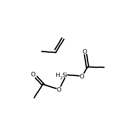 C=CC.CC(=O)O[SiH2]OC(C)=O